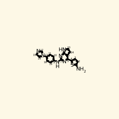 Nc1ccc(-c2nc(Nc3ccc(-n4ccnc4)cc3)nc3[nH]ccc23)s1